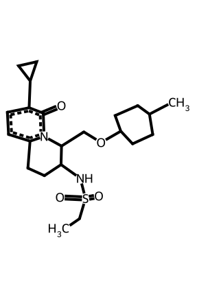 CCS(=O)(=O)NC1CCc2ccc(C3CC3)c(=O)n2C1COC1CCC(C)CC1